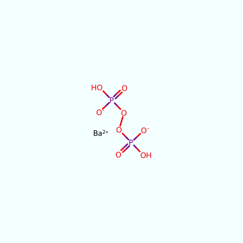 O=P([O-])(O)OOP(=O)([O-])O.[Ba+2]